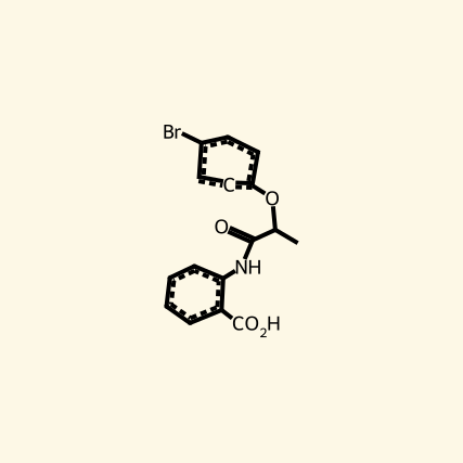 CC(Oc1ccc(Br)cc1)C(=O)Nc1ccccc1C(=O)O